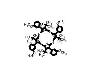 COc1cccc(C2=C(C(C)(C)C)c3nc2nc2[nH]c(nc4nc(nc5[nH]c(n3)c(-c3cccc(OC)c3)c5C(C)(C)C)C(c3cccc(OC)c3)=C4C(C)(C)C)c(-c3cccc(OC)c3)c2C(C)(C)C)c1